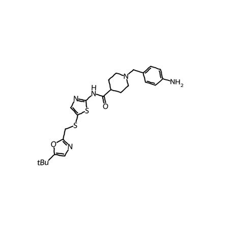 CC(C)(C)c1cnc(CSc2cnc(NC(=O)C3CCN(Cc4ccc(N)cc4)CC3)s2)o1